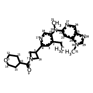 CCc1cc(C2CN(C(=O)C3CCOCC3)C2)ncc1N(C)c1cc2c(cn1)ncn2C